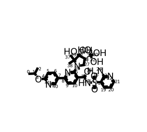 CC(C)Oc1ccc(-c2ccc(C(=O)NS(=O)(=O)c3cccnc3N)c(N3C[C@@H](C(O)(O)O)C(O)(O)C3(C)C)n2)cn1